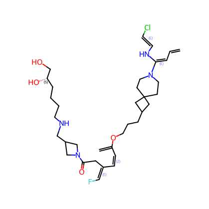 C=C/C=C(\N/C=C/Cl)N1CCC2(CC1)CC(CCCOC(=C)/C=C\C(=C\F)CC(=O)N1CC(CNCCCC[C@H](O)CO)C1)C2